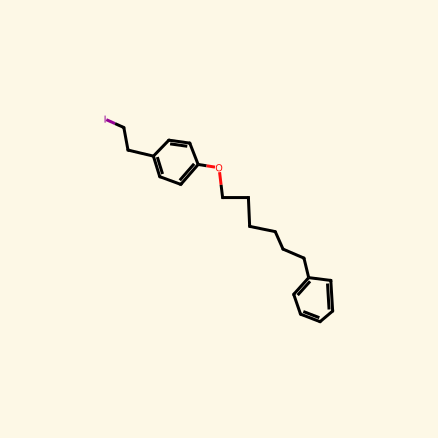 ICCc1ccc(OCCCCCCc2ccccc2)cc1